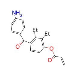 C=CC(=O)Oc1ccc(C(=O)c2ccc(N)cc2)c(CC)c1CC